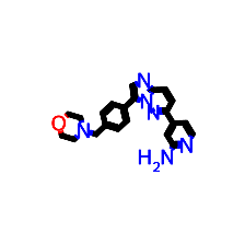 Nc1cc(-c2ccc3ncc(-c4ccc(CN5CCOCC5)cc4)n3n2)ccn1